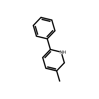 CC1=CC=C(c2ccccc2)NC1